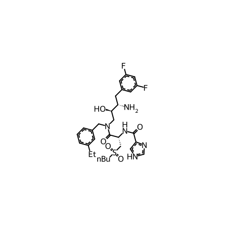 CCCCS(=O)(=O)C[C@@H](NC(=O)c1c[nH]cn1)C(=O)N(Cc1cccc(CC)c1)C[C@@H](O)[C@@H](N)Cc1cc(F)cc(F)c1